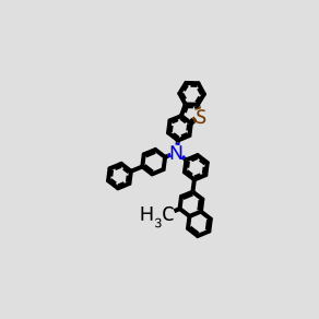 CC1C=C(c2cccc(N(c3ccc4c(c3)sc3ccccc34)C3C=CC(c4ccccc4)=CC3)c2)C=C2C=CC=CC21